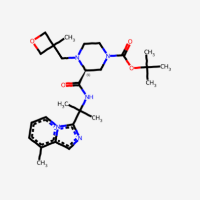 Cc1cccn2c(C(C)(C)NC(=O)[C@@H]3CN(C(=O)OC(C)(C)C)CCN3CC3(C)COC3)ncc12